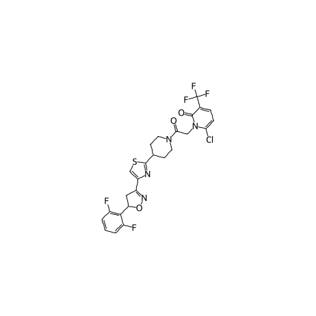 O=C(Cn1c(Cl)ccc(C(F)(F)F)c1=O)N1CCC(c2nc(C3=NOC(c4c(F)cccc4F)C3)cs2)CC1